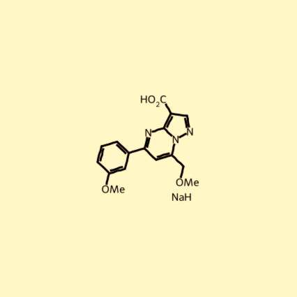 COCc1cc(-c2cccc(OC)c2)nc2c(C(=O)O)cnn12.[NaH]